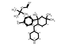 CC(C)(C)OC=O.CC1(C)CCC(CC2CCNCC2)C(O)(c2ccc(Cl)cc2)C1